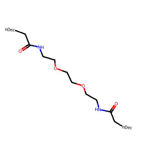 CCCCCCCCCCCC(=O)NCCOCCOCCNC(=O)CCCCCCCCCCC